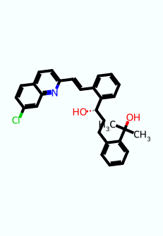 CC(C)(O)c1ccccc1CC[C@H](O)c1ccccc1C=Cc1ccc2ccc(Cl)cc2n1